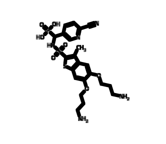 Cc1c(S(=O)(=O)NC(c2ccc(C#N)nc2)P(=O)(O)O)sc2cc(OCCCN)c(OCCCN)cc12